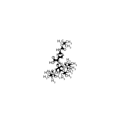 CC(C)(C)OC(=O)Nc1nc(/C(=N/OC(CO[Si](C)(C)C(C)(C)C)(CO[Si](C)(C)C(C)(C)C)C(=O)OC(C)(C)C)C(=O)O)cs1